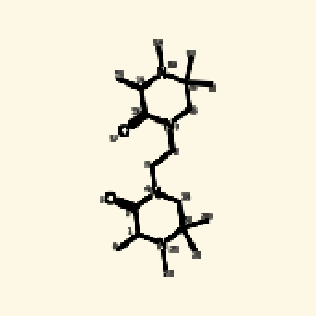 CC1C(=O)N(CCN2CC(C)(C)N(C)C(C)C2=O)CC(C)(C)N1C